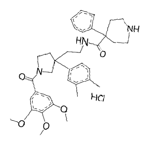 COc1cc(C(=O)N2CCC(CCNC(=O)C3(c4ccccc4)CCNCC3)(c3ccc(C)c(C)c3)C2)cc(OC)c1OC.Cl